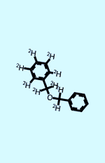 [2H]c1c([2H])c([2H])c(C([2H])([2H])OC([2H])([2H])c2ccccc2)c([2H])c1[2H]